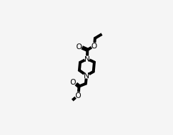 CCOC(=O)N1CCN(CC(=O)OC)CC1